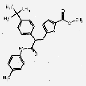 COC(=O)c1ccc(CC(C(=O)Nc2ccc(C)cc2)c2ccc(C(C)(C)C)cc2)s1